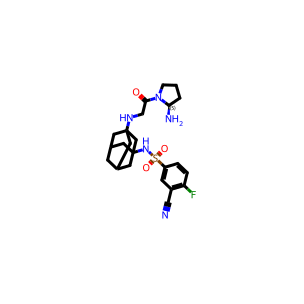 N#Cc1cc(S(=O)(=O)NC23CC4CC(CC(NCC(=O)N5CCC[C@H]5N)(C4)C2)C3)ccc1F